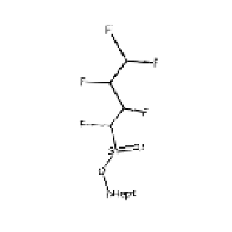 CCCCCCC[O][Sn](=[O])[CH](F)C(F)C(F)C(F)F